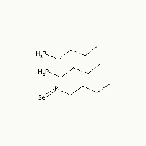 CCCCP.CCCCP.CCCCP=[Se]